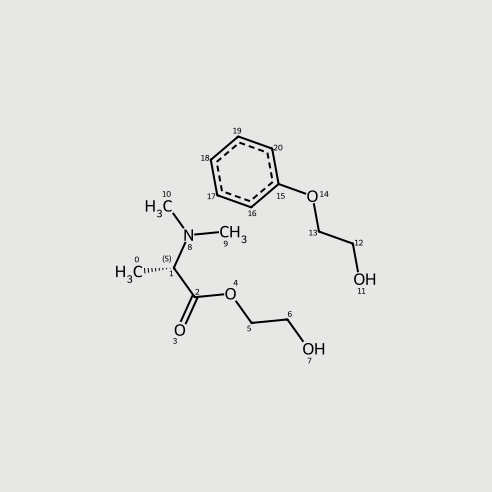 C[C@@H](C(=O)OCCO)N(C)C.OCCOc1ccccc1